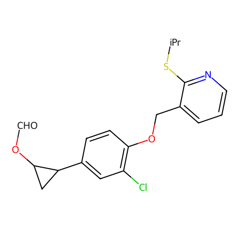 CC(C)Sc1ncccc1COc1ccc(C2CC2OC=O)cc1Cl